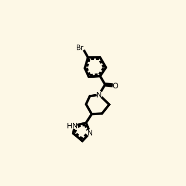 O=C(c1ccc(Br)cc1)N1CCC(c2ncc[nH]2)CC1